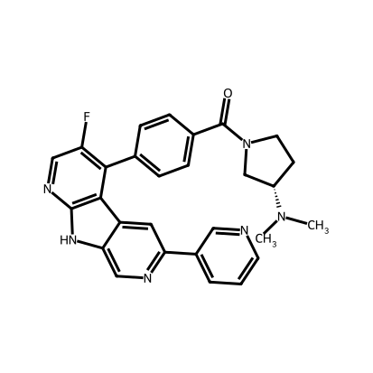 CN(C)[C@H]1CCN(C(=O)c2ccc(-c3c(F)cnc4[nH]c5cnc(-c6cccnc6)cc5c34)cc2)C1